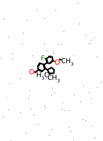 CCOc1ccc(F)c(-c2ccc(C=O)cc2C2CCCC2(C)C)c1